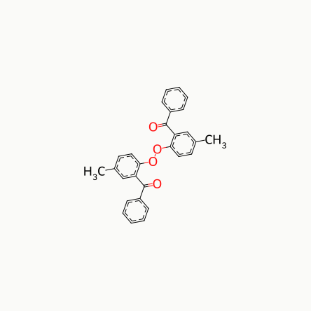 Cc1ccc(OOc2ccc(C)cc2C(=O)c2ccccc2)c(C(=O)c2ccccc2)c1